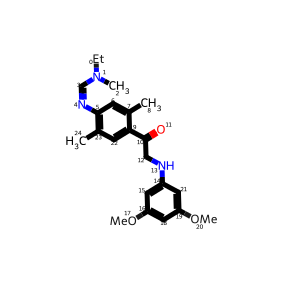 CCN(C)/C=N\c1cc(C)c(C(=O)CNc2cc(OC)cc(OC)c2)cc1C